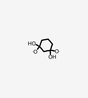 [O]C1(O)CCCC([O])(O)C1